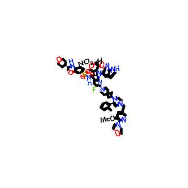 COc1cc(CN2CCN(C3CC4(CCN(c5nc(N6c7cc8cc[nH]c8nc7O[C@H]7COCC[C@@H]76)c(C(=O)NS(=O)(=O)c6cc7c(c([N+](=O)[O-])c6)N[C@H](C6CCOCC6)CO7)cc5F)CC4)C3)[C@H](c3ccccc3C)C2)cnc1N1CCOCC1